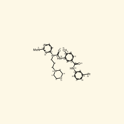 CNc1nccc(N(CCCN2CCOCC2)C(=O)Nc2cc(C(=O)Nc3cccc(C(C)C)c3)ccc2C)n1